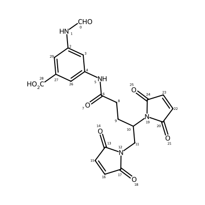 O=CNc1cc(NC(=O)CCC(CN2C(=O)C=CC2=O)N2C(=O)C=CC2=O)cc(C(=O)O)c1